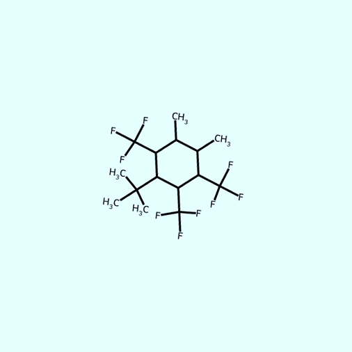 CC1C(C)C(C(F)(F)F)C(C(F)(F)F)C(C(C)(C)C)C1C(F)(F)F